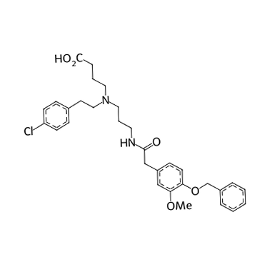 COc1cc(CC(=O)NCCCN(CCCC(=O)O)CCc2ccc(Cl)cc2)ccc1OCc1ccccc1